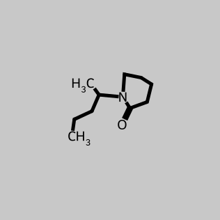 CCCC(C)N1CCCCC1=O